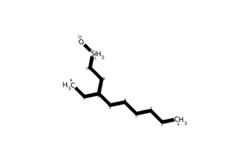 CCCCCCC(CC)CC[SiH2][O]